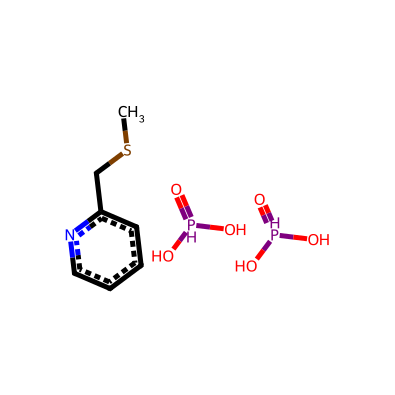 CSCc1ccccn1.O=[PH](O)O.O=[PH](O)O